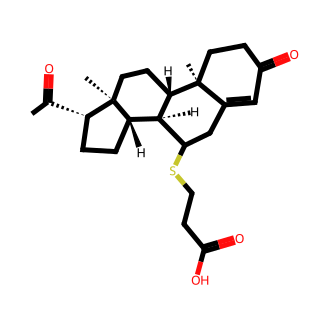 CC(=O)[C@H]1CC[C@H]2[C@@H]3C(SCCC(=O)O)CC4=CC(=O)CC[C@]4(C)[C@H]3CC[C@]12C